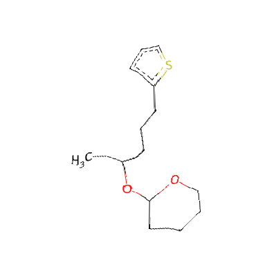 CC(CCCc1cccs1)OC1CCCCO1